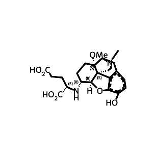 CO[C@@]12CC[C@@H](N[C@@H](CCC(=O)O)C(=O)O)[C@@H]3Oc4c(O)ccc5c4[C@@]31CCN(C)C2C5